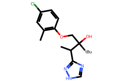 Cc1cc(Cl)ccc1OCC(O)(C(C)c1nc[nH]n1)C(C)(C)C